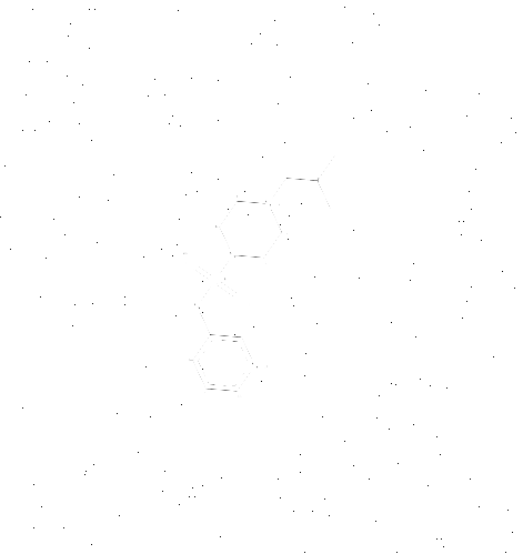 C[C](C)CN1CCN(S(=O)(=O)Nc2cccnc2)CC1